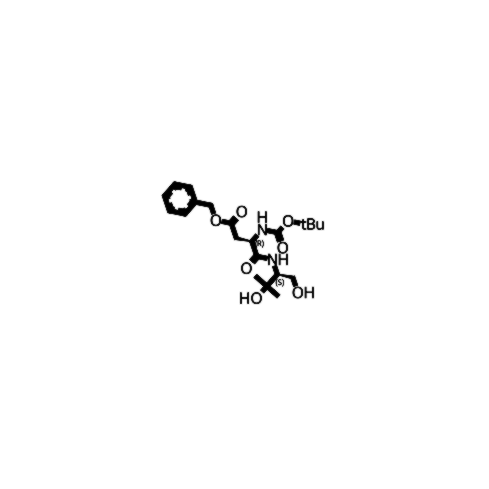 CC(C)(C)OC(=O)N[C@H](CC(=O)OCc1ccccc1)C(=O)N[C@@H](CO)C(C)(C)O